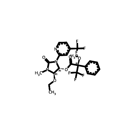 CCO[C@@H]1[C@@H](OC(=O)[C@](OC)(c2ccccc2)C(F)(F)F)N(c2cc(C(F)(F)F)ccn2)C(=O)N1C